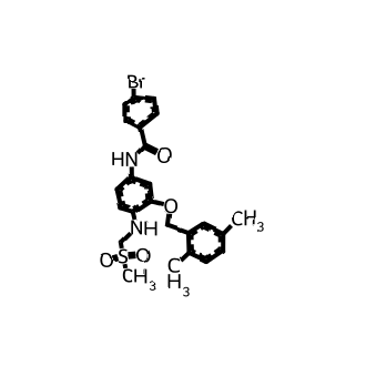 Cc1ccc(C)c(COc2cc(NC(=O)c3ccc(Br)cc3)ccc2NCS(C)(=O)=O)c1